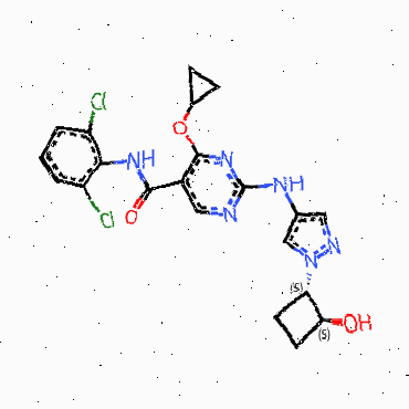 O=C(Nc1c(Cl)cccc1Cl)c1cnc(Nc2cnn([C@H]3CC[C@@H]3O)c2)nc1OC1CC1